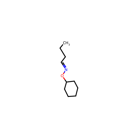 CCCC=NOC1CCCCC1